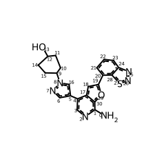 Nc1ncc(-c2cnn(C3CCC(O)CC3)c2)c2cc(-c3cccc4nnsc34)oc12